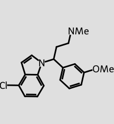 CNCCC(c1cccc(OC)c1)n1ccc2c(Cl)cccc21